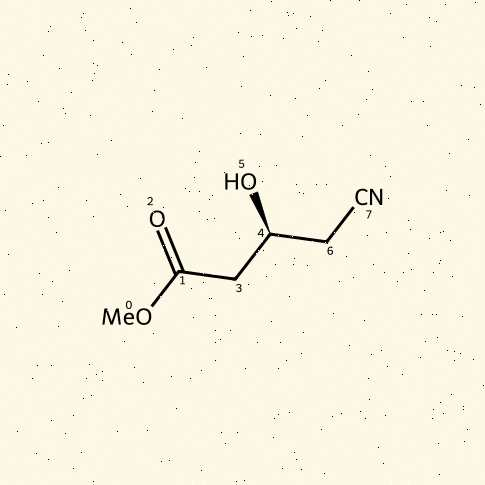 COC(=O)C[C@@H](O)CC#N